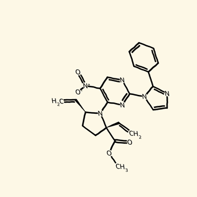 C=C[C@@H]1CC[C@@](C=C)(C(=O)OC)N1c1nc(-n2ccnc2-c2ccccc2)ncc1[N+](=O)[O-]